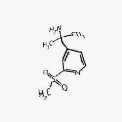 CC(C)(N)c1ccnc(S(C)(=O)=O)c1